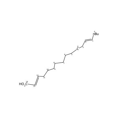 CCCCC=CCCCCCCCCCC=CC(=O)O